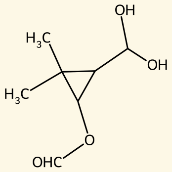 CC1(C)C(OC=O)C1C(O)O